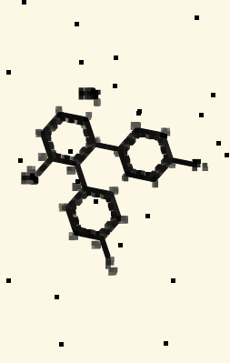 Br.Fc1ccc(-c2cccc(S)c2-c2ccc(F)cc2)cc1